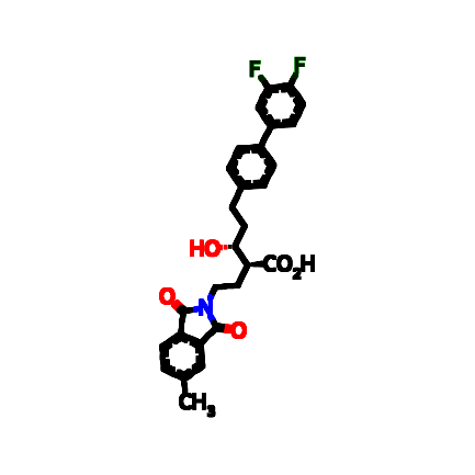 Cc1ccc2c(c1)C(=O)N(CC[C@H](C(=O)O)[C@H](O)CCc1ccc(-c3ccc(F)c(F)c3)cc1)C2=O